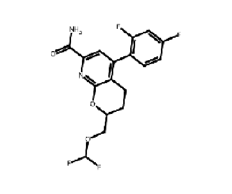 NC(=O)c1cc(-c2ccc(F)cc2F)c2c(n1)O[C@H](COC(F)F)CC2